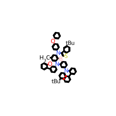 Cc1cc2c3c(c1)N(c1cccc4c1oc1ccccc14)c1cc(N(c4ccc(C(C)(C)C)cc4)c4ccccc4-c4ccccc4)ccc1B3c1sc3ccc(C(C)(C)C)cc3c1N2c1ccc(Oc2ccccc2)cc1